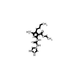 CCCCc1c(C)sc(NC(=S)NN2CNNC2)c1C(=O)OCC